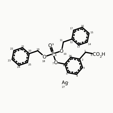 O=C(O)Cc1cccc(OP(=O)(OCc2ccccc2)OCc2ccccc2)c1.[Ag]